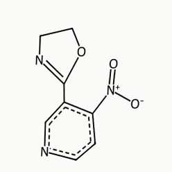 O=[N+]([O-])c1ccncc1C1=NCCO1